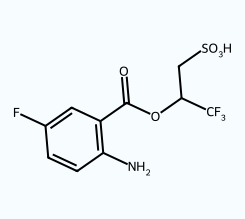 Nc1ccc(F)cc1C(=O)OC(CS(=O)(=O)O)C(F)(F)F